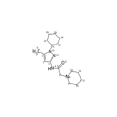 Cc1cc(NC(=O)CN2CCCCC2)nn1C1CCCCC1